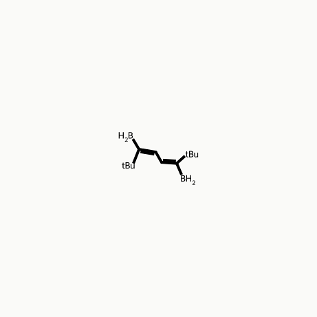 B/C(=C/C=C(/B)C(C)(C)C)C(C)(C)C